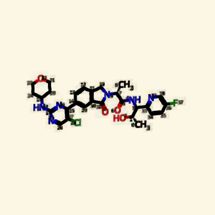 C[C@H](O)[C@@H](NC(=O)[C@@H](C)N1Cc2ccc(-c3nc(NC4CCOCC4)ncc3Cl)cc2C1=O)c1ccc(F)cn1